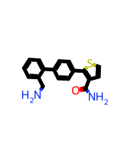 NCc1ccccc1-c1ccc(-c2sccc2C(N)=O)cc1